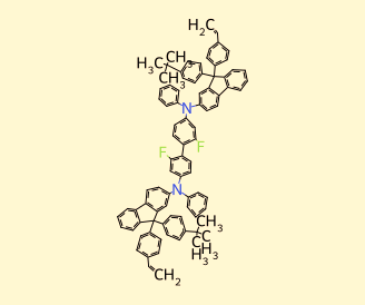 C=Cc1ccc(C2(c3ccc(C(C)(C)C)cc3)c3ccccc3-c3ccc(N(c4ccccc4)c4ccc(-c5ccc(N(c6ccccc6)c6ccc7c(c6)C(c6ccc(C=C)cc6)(c6ccc(C(C)(C)C)cc6)c6ccccc6-7)cc5F)c(F)c4)cc32)cc1